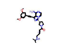 COc1cc(C#Cc2nc([C@H]3CCN(C(=O)/C=C/CNC(C)C)C3)n3ccnc(N)c23)cc(OC)c1